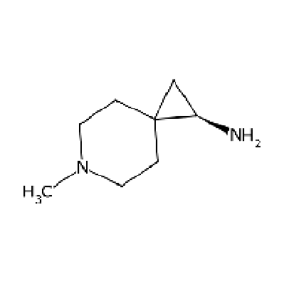 CN1CCC2(CC1)C[C@H]2N